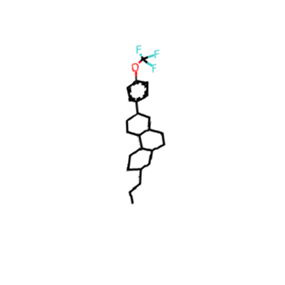 CCCC1CCC2C(CCC3CC(c4ccc(OC(F)(F)F)cc4)CCC32)C1